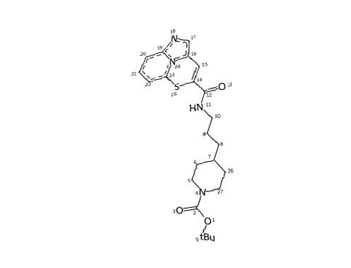 CC(C)(C)OC(=O)N1CCC(CCCNC(=O)C2=Cc3cnc4cccc(n34)S2)CC1